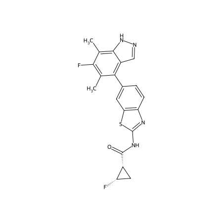 Cc1c(F)c(C)c2[nH]ncc2c1-c1ccc2nc(NC(=O)[C@@H]3C[C@@H]3F)sc2c1